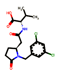 CC(C)[C@H](NC(=O)C[C@@H]1CCC(=O)N1Cc1cc(Cl)cc(Cl)c1)C(=O)O